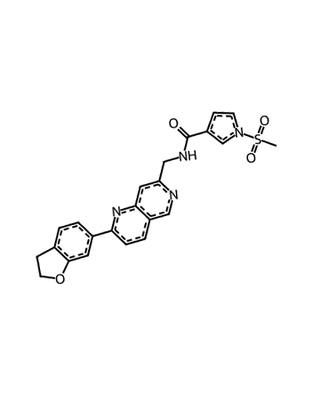 CS(=O)(=O)n1ccc(C(=O)NCc2cc3nc(-c4ccc5c(c4)OCC5)ccc3cn2)c1